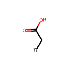 O=C(O)[CH2][Ti]